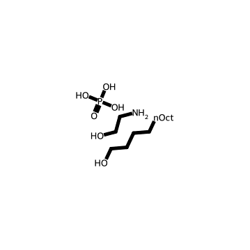 CCCCCCCCCCCCO.NCCO.O=P(O)(O)O